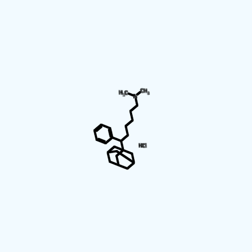 CN(C)CCCCCC(c1ccccc1)C12CC3CC(CC(C3)C1)C2.Cl